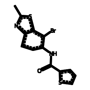 Cc1nc2ccc(NC(=O)c3cccs3)c(Br)c2s1